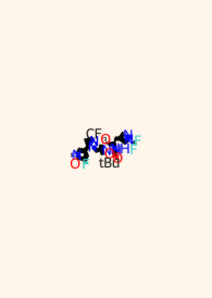 Cn1cc(-c2cc(C(F)(F)F)nn2CC(C)(C)NC(=O)[C@@H](Cc2cnn(C(F)F)c2)NC(=O)OC(C)(C)C)cc(F)c1=O